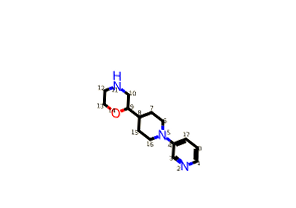 c1cncc(N2CCC(C3CNCCO3)CC2)c1